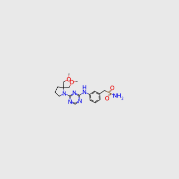 COCC1(COC)CCCN1c1ncnc(Nc2cccc(CS(N)(=O)=O)c2)n1